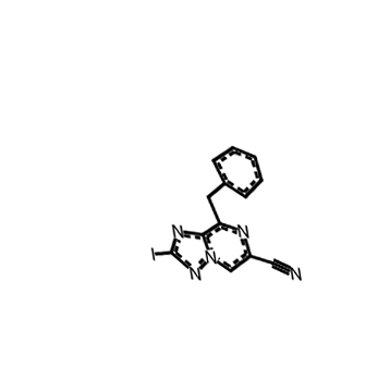 N#Cc1cn2nc(I)nc2c(Cc2ccccc2)n1